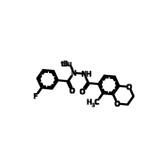 Cc1c(C(=O)NN(C(=O)c2cccc(F)c2)C(C)(C)C)ccc2c1OCCO2